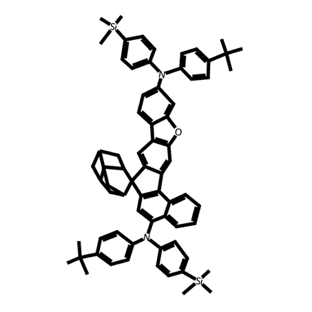 CC(C)(C)c1ccc(N(c2ccc([Si](C)(C)C)cc2)c2ccc3c(c2)oc2cc4c(cc23)C2(c3cc(N(c5ccc(C(C)(C)C)cc5)c5ccc([Si](C)(C)C)cc5)c5ccccc5c3-4)C3CC4CC(C3)CC2C4)cc1